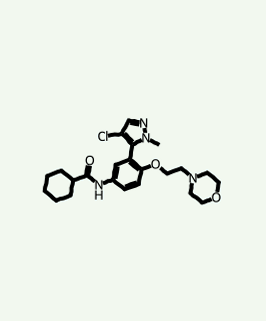 Cn1ncc(Cl)c1-c1cc(NC(=O)C2CCCCC2)ccc1OCCN1CCOCC1